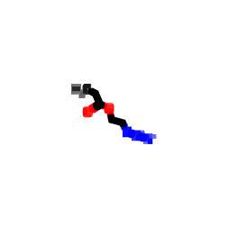 CCC(=O)OCCN=[N+]=[N-]